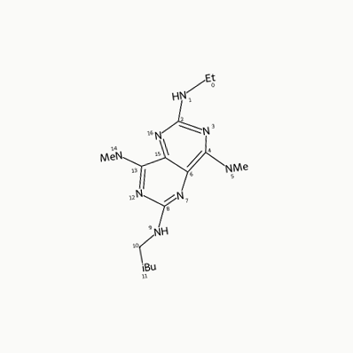 CCNc1nc(NC)c2nc(NCC(C)CC)nc(NC)c2n1